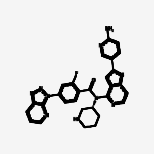 Nc1ccc(-c2cc3c(N(C(=O)c4ccc(-n5nnc6cccnc65)cc4F)[C@@H]4CCCNC4)nccc3s2)cn1